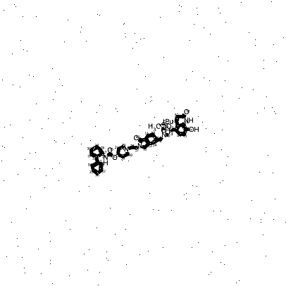 CC(C)(C)[Si](C)(C)O[C@@H](CNCc1ccc2c(c1)CN(CCN1CCC(OC(=O)Nc3ccccc3-c3ccccc3)CC1)C2=O)c1ccc(O)c2[nH]c(=O)ccc12